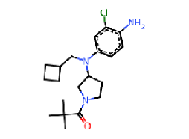 CC(C)(C)C(=O)N1CCC(N(CC2CCC2)c2ccc(N)c(Cl)c2)C1